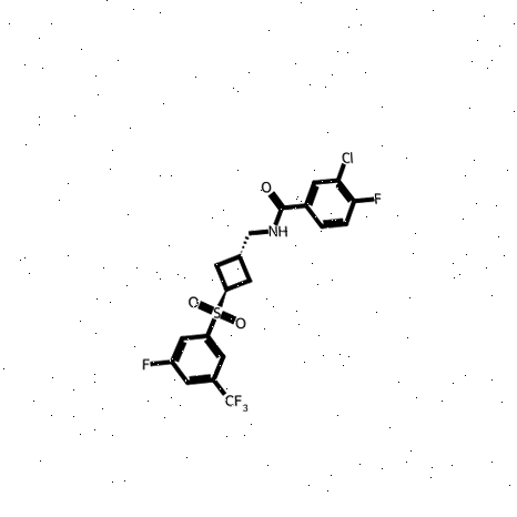 O=C(NC[C@H]1C[C@H](S(=O)(=O)c2cc(F)cc(C(F)(F)F)c2)C1)c1ccc(F)c(Cl)c1